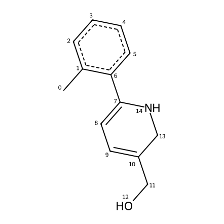 Cc1ccccc1C1=CC=C(CO)CN1